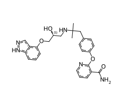 CC(C)(Cc1ccc(Oc2ncccc2C(N)=O)cc1)NC[C@H](O)COc1cccc2[nH]ncc12